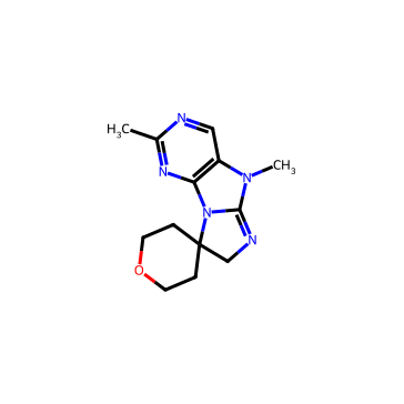 Cc1ncc2c(n1)N1C(=NCC13CCOCC3)N2C